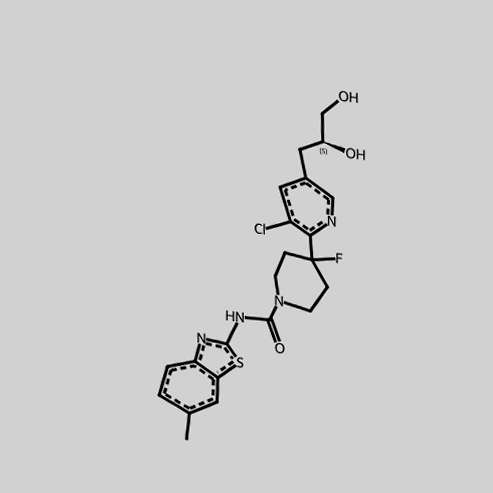 Cc1ccc2nc(NC(=O)N3CCC(F)(c4ncc(C[C@H](O)CO)cc4Cl)CC3)sc2c1